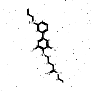 CCCNc1cccc(-c2cc(F)c(OCCCC(=O)OCC)c(F)c2)c1